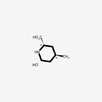 C[C@H]1CCN[C@H](C(=O)O)C1.Cl